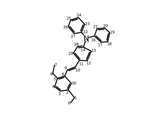 CCc1ccc(CC)c(C=Cc2ccc(N(c3ccccc3)c3ccccc3)cc2)c1